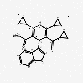 COC(=O)C1=C(C2CC2)NC(C2CC2)=C(C(=O)C2CC2)C1c1csc2ccccc12